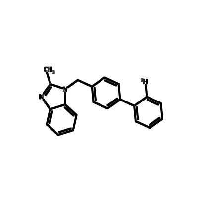 [2H]c1ccccc1-c1ccc(Cn2c(C)nc3ccccc32)cc1